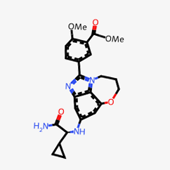 COC(=O)c1cc(-c2nc3cc(N[C@H](C(N)=O)C4CC4)cc4c3n2CCCO4)ccc1OC